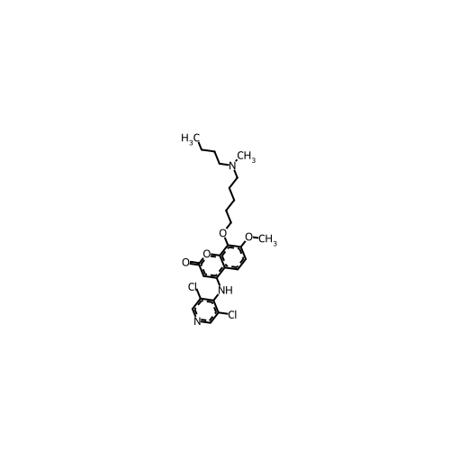 CCCCN(C)CCCCCOc1c(OC)ccc2c(Nc3c(Cl)cncc3Cl)cc(=O)oc12